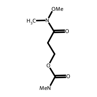 CNC(=O)OCCC(=O)N(C)OC